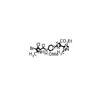 CCOC(=O)c1sc(N2CC[C@@H](NC(=O)c3[nH]c(C)c(Br)c3Cl)[C@@H](OC)C2)nc1-c1ncnn1C